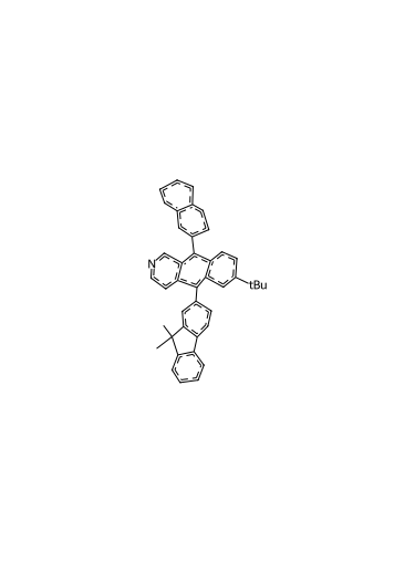 CC(C)(C)c1ccc2c(-c3ccc4ccccc4c3)c3cnccc3c(-c3ccc4c(c3)C(C)(C)c3ccccc3-4)c2c1